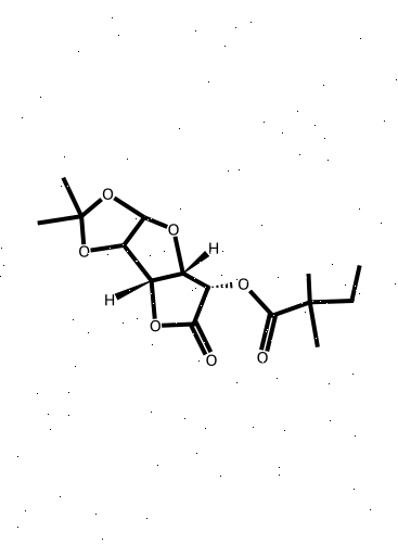 CCC(C)(C)C(=O)O[C@@H]1C(=O)O[C@@H]2C3OC(C)(C)OC3O[C@H]12